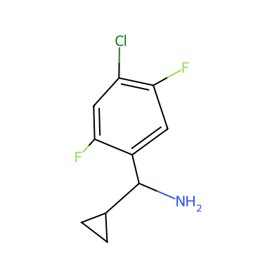 NC(c1cc(F)c(Cl)cc1F)C1CC1